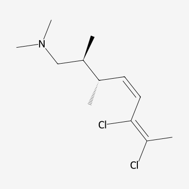 C/C(Cl)=C(Cl)\C=C/[C@H](C)[C@H](C)CN(C)C